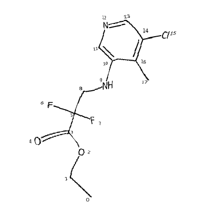 CCOC(=O)C(F)(F)CNc1cncc(Cl)c1C